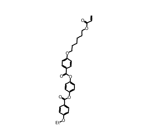 C=CC(=O)OCCCCCCOc1ccc(C(=O)Oc2ccc(OC(=O)c3ccc(OCC)cc3)cc2)cc1